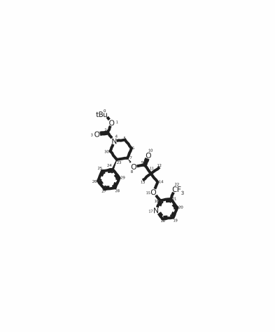 CC(C)(C)OC(=O)N1CC[C@H](OC(=O)C(C)(C)COc2ncccc2C(F)(F)F)[C@@H](c2ccccc2)C1